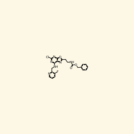 O=C(NCCc1nc2c(NCc3ncccc3F)nc(Cl)nc2o1)OCc1ccccc1